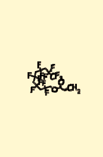 C=CC(=O)OCC(F)(F)CC(F)(F)CC(F)(F)CC(F)(F)CC(F)(F)C(F)(F)F